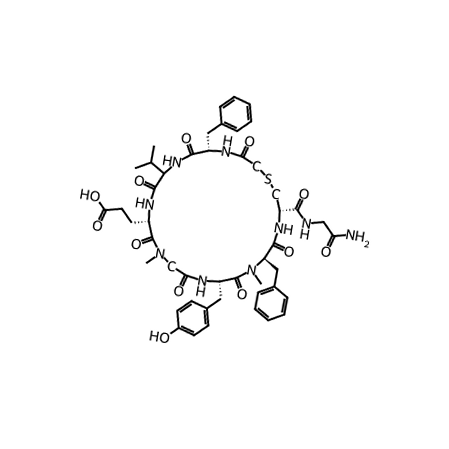 CC(C)C1NC(=O)[C@H](Cc2ccccc2)NC(=O)CSC[C@H](C(=O)NCC(N)=O)NC(=O)[C@@H](Cc2ccccc2)N(C)C(=O)[C@H](Cc2ccc(O)cc2)NC(=O)CN(C)C(=O)[C@H](CCC(=O)O)NC1=O